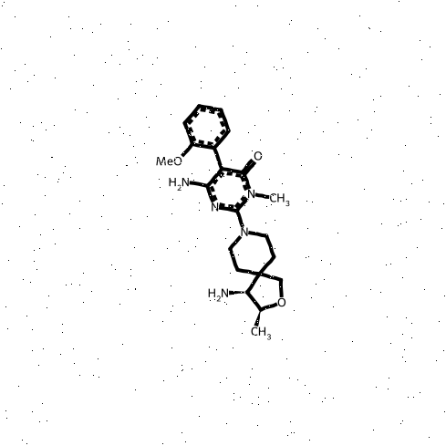 COc1ccccc1-c1c(N)nc(N2CCC3(CC2)CO[C@@H](C)[C@H]3N)n(C)c1=O